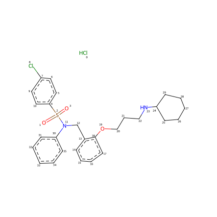 Cl.O=S(=O)(c1ccc(Cl)cc1)N(Cc1ccccc1OCCCNC1CCCCC1)c1ccccc1